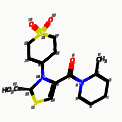 CC1CCCCN1C(=O)C1=CS[C@@H](C(=O)O)N1C1CCS(=O)(=O)CC1